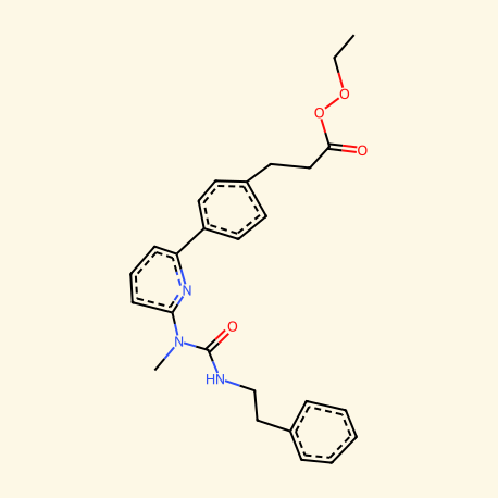 CCOOC(=O)CCc1ccc(-c2cccc(N(C)C(=O)NCCc3ccccc3)n2)cc1